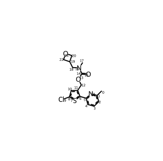 Cc1cccc(-c2sc(Cl)cc2COC(=O)N(C)CC2COC2)n1